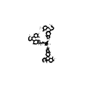 Cc1cc(-c2ncccc2-c2ccc3nn(COP(=O)(OCn4cc5cc(-c6cccnc6-c6ccc(F)c(C)c6)ccc5n4)OCn4cc5cc(-c6cccnc6-c6ccc(F)c(C)c6)ccc5n4)cc3c2)ccc1F